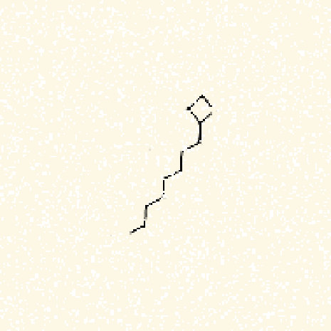 Br.CCCCCCCCCCCCCCC1CCN1